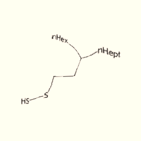 CCCCCCCC(CCCCCC)CCSS